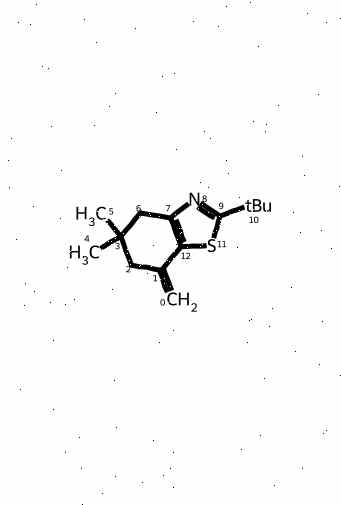 C=C1CC(C)(C)Cc2nc(C(C)(C)C)sc21